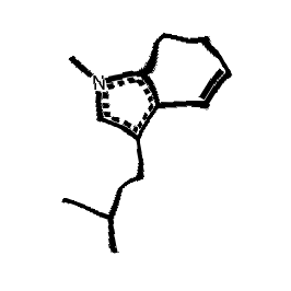 CC(C)Cc1cn(C)c2c1C=CCC2